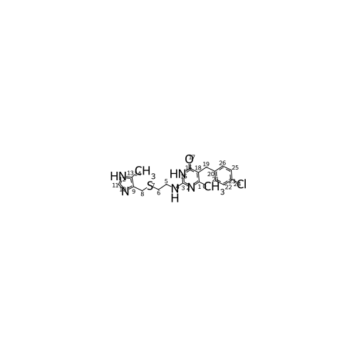 Cc1nc(NCCSCc2nc[nH]c2C)[nH]c(=O)c1Cc1ccc(Cl)cc1